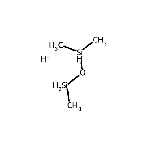 C[SiH2]O[SiH](C)C.[H+]